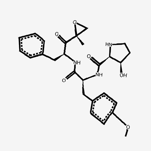 COc1ccc(C[C@H](NC(=O)[C@H]2NCC[C@H]2O)C(=O)N[C@@H](Cc2ccccc2)C(=O)[C@@]2(C)CO2)cc1